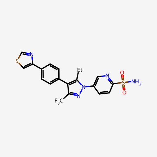 CCc1c(-c2ccc(-c3cscn3)cc2)c(C(F)(F)F)nn1-c1ccc(S(N)(=O)=O)nc1